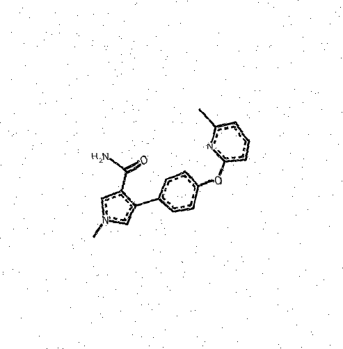 Cc1cccc(Oc2ccc(-c3cn(C)cc3C(N)=O)cc2)n1